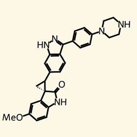 COc1ccc2c(c1)[C@]1(CC1c1ccc3c(-c4ccc(N5CCNCC5)cc4)n[nH]c3c1)C(=O)N2